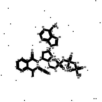 CC(N=[N+]=[N-])c1ncccc1C(=O)O[C@@H]1C[C@H](n2cnc3c(N)ncnc32)O[C@@H]1COP(=O)(O)OP(=O)(O)OP(=O)(O)O